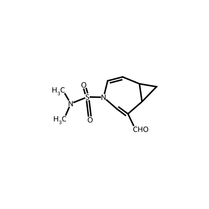 CN(C)S(=O)(=O)N1C=CC2CC2C(C=O)=C1